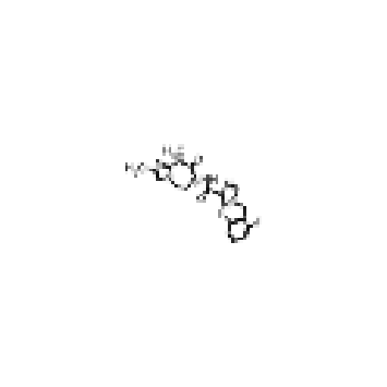 Cc1cn2c(n1)N(C)C(=O)[C@H](NC(=O)c1ncn(Cc3c(F)cccc3F)n1)CC2